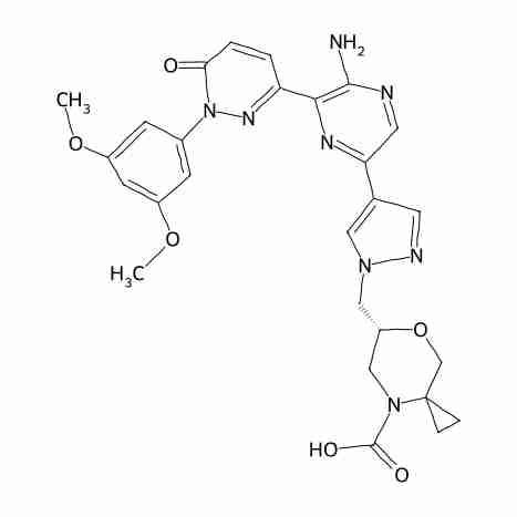 COc1cc(OC)cc(-n2nc(-c3nc(-c4cnn(C[C@H]5CN(C(=O)O)C6(CC6)CO5)c4)cnc3N)ccc2=O)c1